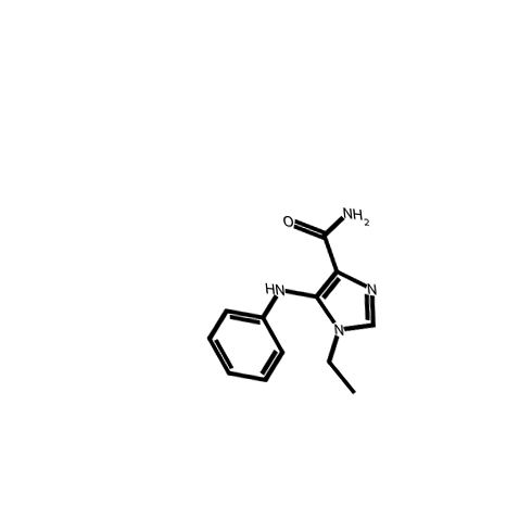 CCn1cnc(C(N)=O)c1Nc1ccccc1